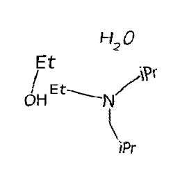 CCN(C(C)C)C(C)C.CCO.O